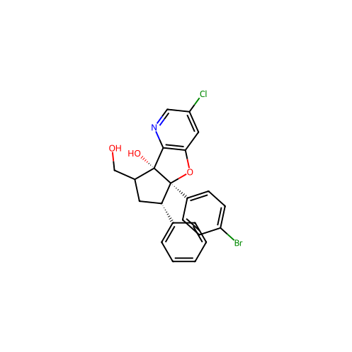 OCC1C[C@@H](c2ccccc2)[C@]2(c3ccc(Br)cc3)Oc3cc(Cl)cnc3[C@]12O